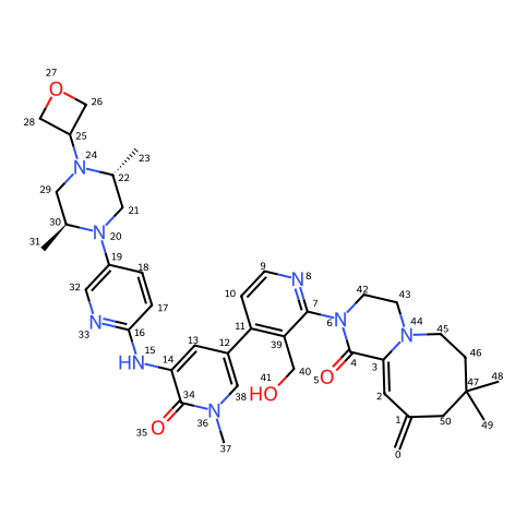 C=C1/C=C2/C(=O)N(c3nccc(-c4cc(Nc5ccc(N6C[C@@H](C)N(C7COC7)C[C@@H]6C)cn5)c(=O)n(C)c4)c3CO)CCN2CCC(C)(C)C1